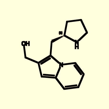 OCc1cc2ccccn2c1C[C@@H]1CCCN1